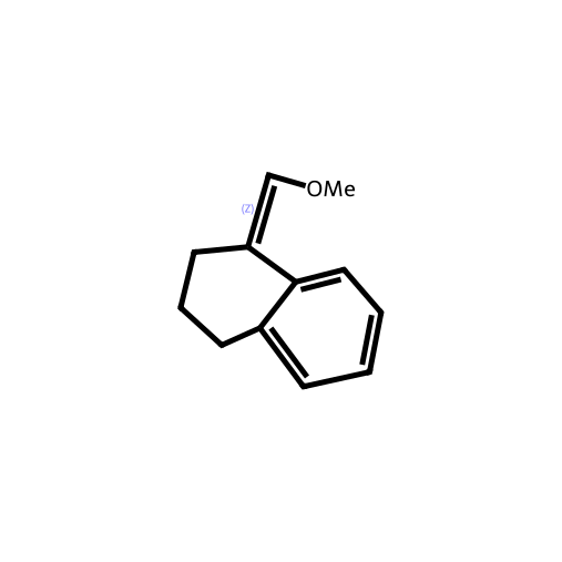 CO/C=C1/CCCc2ccccc21